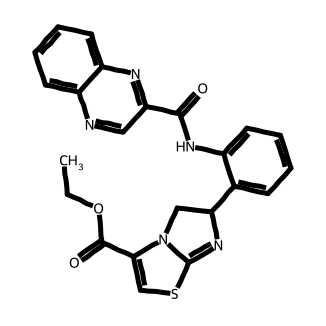 CCOC(=O)C1=CSC2=NC(c3ccccc3NC(=O)c3cnc4ccccc4n3)CN12